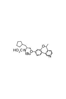 CC1Oc2cc(OC[C@H](CC3CCCC3)N(C(=O)O)C(C)(C)C)ccc2-c2cnccc21